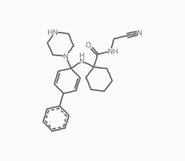 N#CCNC(=O)C1(NC2(N3CCNCC3)C=CC(c3ccccc3)C=C2)CCCCC1